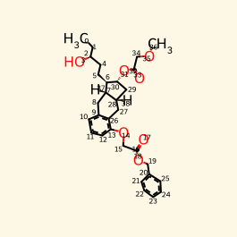 CC[C@H](O)CC[C@@H]1[C@H]2Cc3cccc(OCC(=O)OCc4ccccc4)c3C[C@H]2C[C@H]1OC(=O)COC